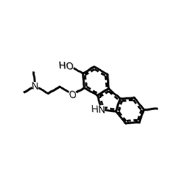 Cc1ccc2[nH]c3c(OCCN(C)C)c(O)ccc3c2c1